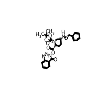 CC(C)(C)OC(=O)N1C[C@H](NOCc2ccccc2)CC[C@H]1C(=O)On1nnc2ccccc2c1=O